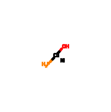 [Ni].[OH][Cu][PH2]